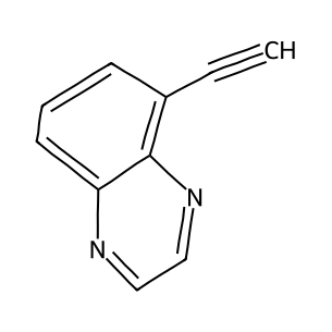 C#Cc1cccc2nccnc12